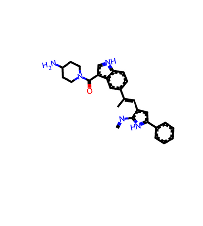 C=Nc1[nH]c(-c2ccccc2)cc1/C=C(\C)c1ccc2[nH]cc(C(=O)N3CCC(N)CC3)c2c1